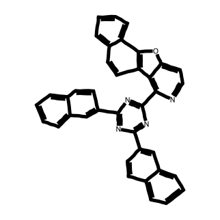 c1ccc2cc(-c3nc(-c4ccc5ccccc5c4)nc(-c4nccc5oc6c7ccccc7ccc6c45)n3)ccc2c1